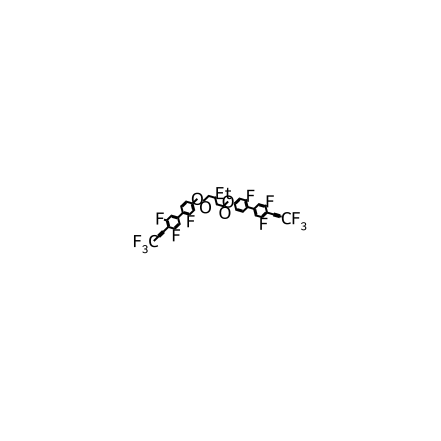 CCC(CC(=O)Oc1ccc(-c2cc(F)c(C#CC(F)(F)F)c(F)c2)c(F)c1)CC(=O)Oc1ccc(-c2cc(F)c(C#CC(F)(F)F)c(F)c2)c(F)c1